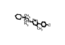 Cc1cc(NCC(C)(C)N2CCCCC2)nnc1-c1ccc(Cl)cc1